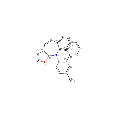 Cc1ccc(N2c3ccccc3C=Cc3ccoc32)c(-c2ccccc2)c1